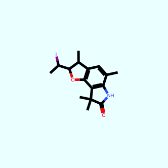 Cc1cc2c(c3c1NC(=O)C3(C)C)OC(C(C)I)C2C